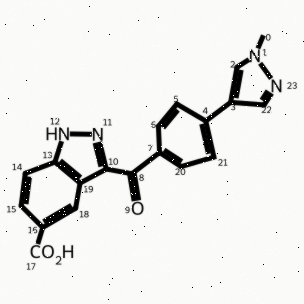 Cn1cc(-c2ccc(C(=O)c3n[nH]c4ccc(C(=O)O)cc34)cc2)cn1